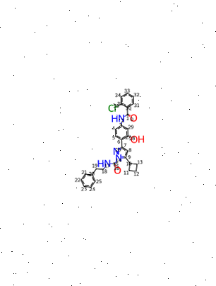 O=C(Nc1ccc(-c2cc(C3CCC3)n(C(=O)NCCc3ccccc3)n2)c(O)c1)c1ccccc1Cl